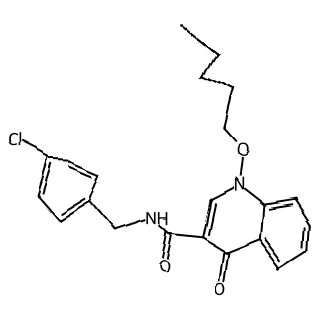 CCCCCOn1cc(C(=O)NCc2ccc(Cl)cc2)c(=O)c2ccccc21